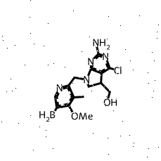 Bc1cnc(CN2CC(CO)c3c(Cl)nc(N)nc32)c(C)c1OC